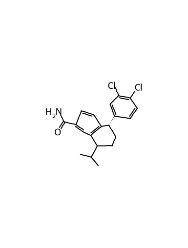 CC(C)C1CC[C@@H](c2ccc(Cl)c(Cl)c2)c2ccc(C(N)=O)cc21